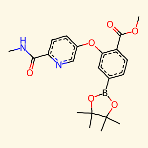 CNC(=O)c1ccc(Oc2cc(B3OC(C)(C)C(C)(C)O3)ccc2C(=O)OC)cn1